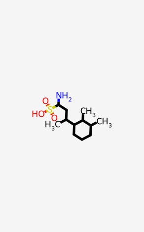 CC1CCCC(C(C)CC(N)S(=O)(=O)O)C1C